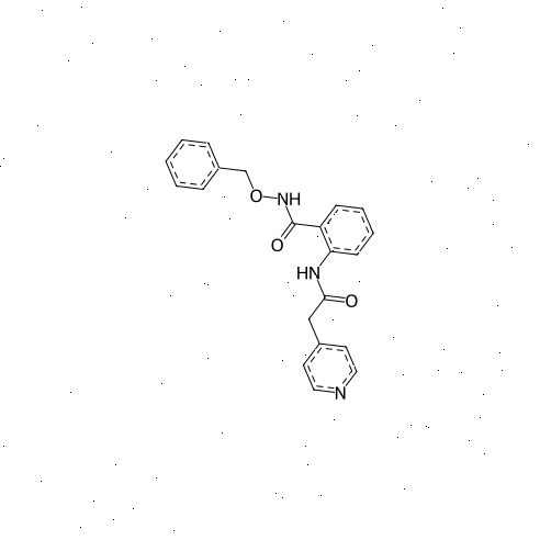 O=C(Cc1ccncc1)Nc1ccccc1C(=O)NOCc1ccccc1